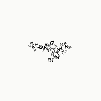 Cc1nc(Br)cc2c(-c3cn(COCCS(C)(C)C)nc3Cl)cn(C3CCN(C)CC3)c12